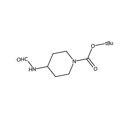 CC(C)(C)OC(=O)N1CCC(N[C]=O)CC1